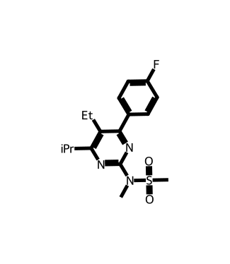 CCc1c(-c2ccc(F)cc2)nc(N(C)S(C)(=O)=O)nc1C(C)C